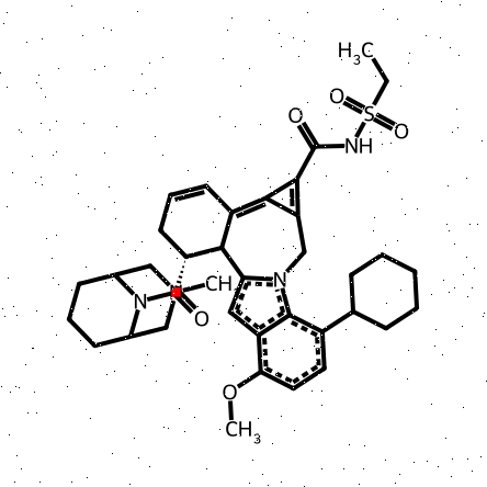 CCS(=O)(=O)NC(=O)C1=C2Cn3c(cc4c(OC)ccc(C5CCCCC5)c43)C3C(=C21)C=CC[C@H]3C(=O)N1C2CCCC1CN(C)C2